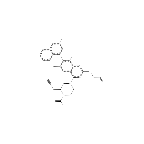 N#CCC1CN(c2nc(OCC=O)nc3c(F)c(-c4cc(O)cc5ccccc45)c(Cl)cc23)CCN1C(=O)O